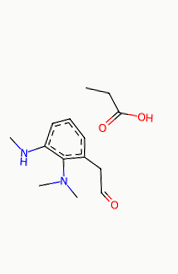 CCC(=O)O.CNc1cccc(CC=O)c1N(C)C